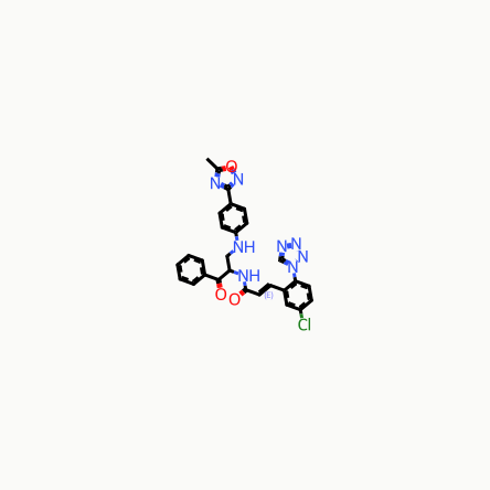 Cc1nc(-c2ccc(NCC(NC(=O)/C=C/c3cc(Cl)ccc3-n3cnnn3)C(=O)c3ccccc3)cc2)no1